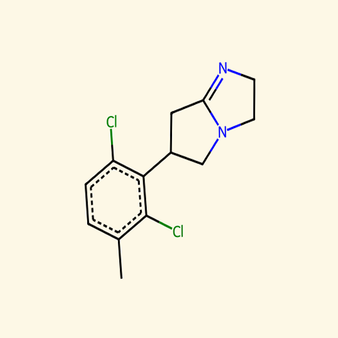 Cc1ccc(Cl)c(C2CC3=NCCN3C2)c1Cl